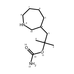 CC(C)(CC1CCCCNC1)OC(N)=O